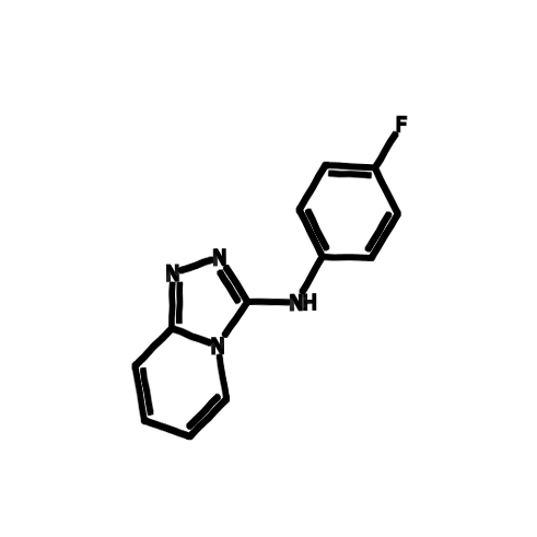 Fc1ccc(Nc2nnc3ccccn23)cc1